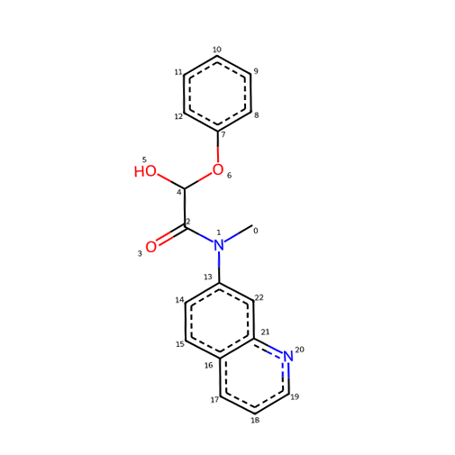 CN(C(=O)C(O)Oc1ccccc1)c1ccc2cccnc2c1